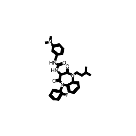 CC(C)CCN1C(=O)C(NC(=O)Nc2cccc(N(C)C)c2)C(=O)N(c2ccccc2F)c2ccccc21